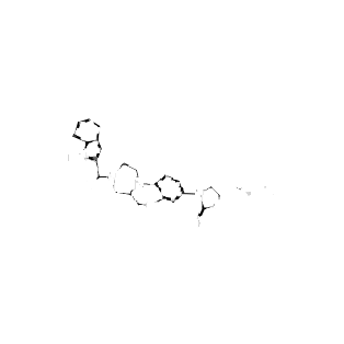 CC(=O)NC[C@H]1CN(c2ccc3c(c2)OCC2CN(C(=O)c4cc5ccccc5[nH]4)CCN32)C(=O)O1